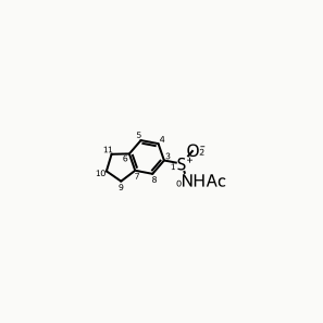 CC(=O)N[S+]([O-])c1ccc2c(c1)CCC2